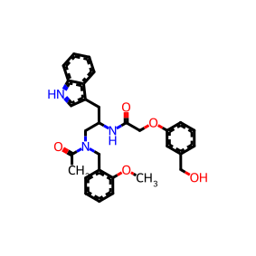 COc1ccccc1CN(CC(Cc1c[nH]c2ccccc12)NC(=O)COc1cccc(CO)c1)C(C)=O